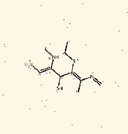 C=N/C(C)=C(\SCC)C(S)/C(=C/N)NC